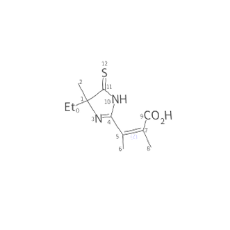 CCC1(C)N=C(/C(C)=C(/C)C(=O)O)NC1=S